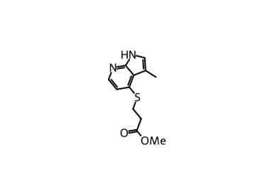 COC(=O)CCSc1ccnc2[nH]cc(C)c12